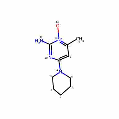 Cc1cc(N2CCCCC2)nc(N)[n+]1[O-]